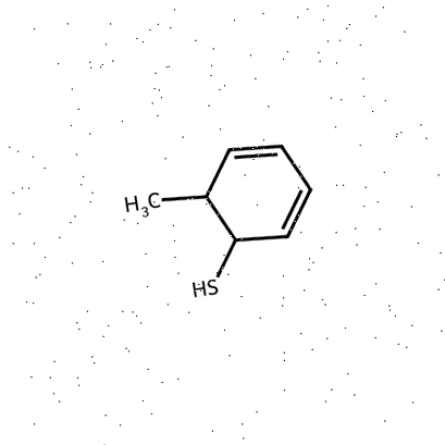 CC1C=CC=CC1S